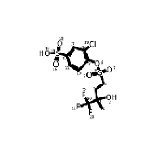 CC(O)(CCS(=O)(=O)Oc1ccc(S(=O)(=O)O)cc1Cl)C(F)(F)F